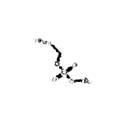 CCCCCC[O][Cr](=[O])(=[O])[O]CCCC